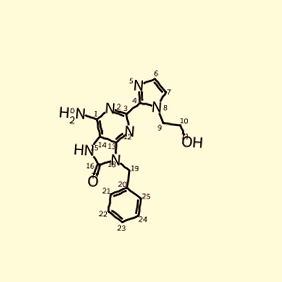 Nc1nc(-c2nccn2CCO)nc2c1[nH]c(=O)n2Cc1ccccc1